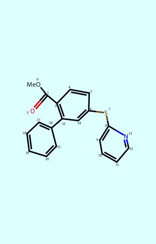 COC(=O)c1ccc(Sc2ccccn2)cc1-c1ccccc1